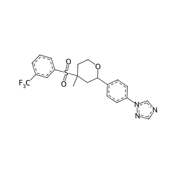 CC1(S(=O)(=O)c2cccc(C(F)(F)F)c2)CCOC(c2ccc(-n3cncn3)cc2)C1